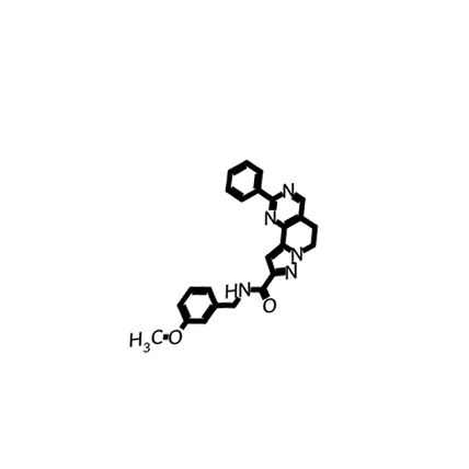 COc1cccc(CNC(=O)c2cc3n(n2)CCc2cnc(-c4ccccc4)nc2-3)c1